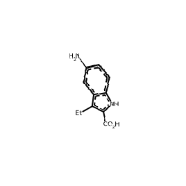 [CH2]Cc1c(C(=O)O)[nH]c2ccc(N)cc12